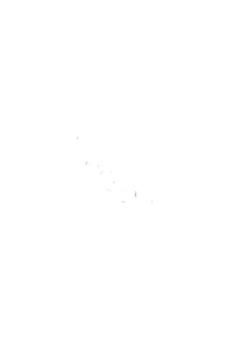 CC(C)(C)OC(=O)NC[C@@H]1OC(=O)N2c3ccc(Br)cc3C[C@@H]12